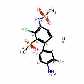 CS(=O)(=O)Nc1ccc(-c2ccc(N)c(F)c2)c(S(C)(=O)=O)c1F.[Li]